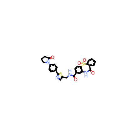 O=C(NCc1cnc(-c2ccc(N3CCCC3=O)cc2)s1)c1ccc2c(c1)NC(=O)c1ccccc1S2(=O)=O